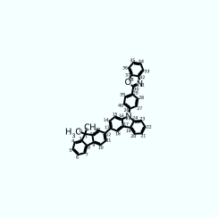 CC1(C)c2ccccc2-c2ccc(-c3ccc4c(c3)c3ccccc3n4-c3ccc(-c4nc5ccccc5o4)cc3)cc21